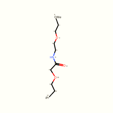 COCCOCCNC(=O)COCCC(C)C